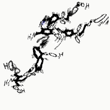 Nc1c(N=Nc2ccc(S(=O)(=O)CCOS(=O)(=O)O)cc2)c(C(=O)O)c(N=Nc2ccc3cc(SOCC(N)(COO)C(=C=O)COO)ccc3c2S(=O)(=O)O)c(N)c1/N=N\c1ccc(S(=O)(=O)CCOS(=O)(=O)O)cc1